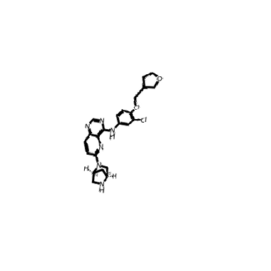 Clc1cc(Nc2ncnc3ccc(N4C[C@@H]5C[C@H]4CN5)nc23)ccc1OCC1CCOC1